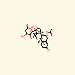 CC[C@]1([C@]2(O)CC[C@H]3[C@H]4[C@H](CC[C@@]32C)[C@H]2CCC(=O)C=C2C[C@H]4SC(C)=O)OC(=O)CC(O)C1=O